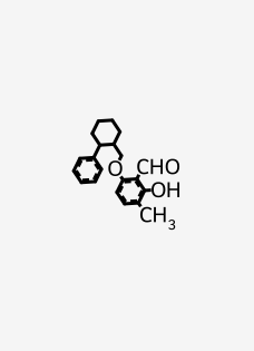 Cc1ccc(OCC2CCCCC2c2ccccc2)c(C=O)c1O